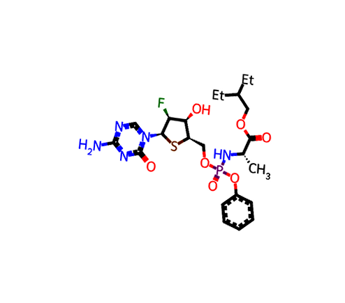 CCC(CC)COC(=O)[C@H](C)NP(=O)(OC[C@H]1S[C@@H](n2cnc(N)nc2=O)[C@@H](F)[C@H]1O)Oc1ccccc1